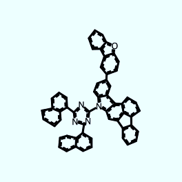 c1ccc2c(c1)-c1cccc3c1c-2cc1c3c2cc(-c3ccc4oc5ccccc5c4c3)ccc2n1-c1nc(-c2cccc3ccccc23)nc(-c2cccc3ccccc23)n1